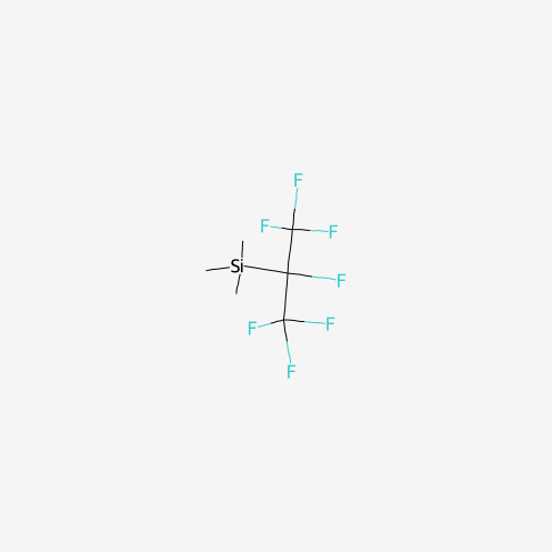 C[Si](C)(C)C(F)(C(F)(F)F)C(F)(F)F